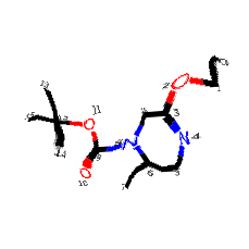 CCOC1=NCC(C)N(C(=O)OC(C)(C)C)C1